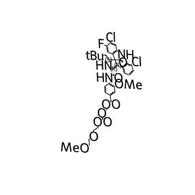 COCCOCCOC(=O)OCOC(=O)c1ccc(NC(=O)[C@@H]2N[C@@H](CC(C)(C)C)C3(C(=O)Nc4cc(Cl)c(F)cc43)[C@H]2c2cccc(Cl)c2)c(OC)c1